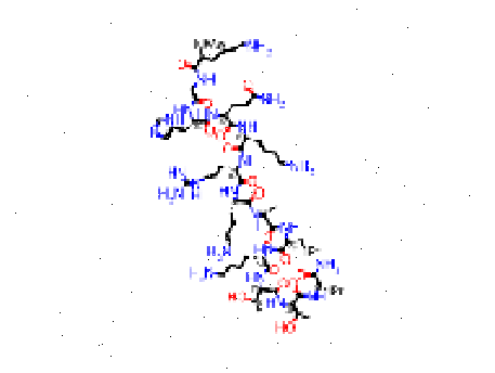 CN[C@@H](CCCCN)C(=O)NCC(=O)N[C@@H](Cc1cnc[nH]1)C(=O)N[C@@H](CCC(N)=O)C(=O)N[C@@H](CCCCN)C(=O)N[C@@H](CCCNC(=N)N)C(=O)N[C@@H](CCCCN)C(=O)N[C@@H](C)C(=O)N[C@@H](CC(C)C)C(=O)N[C@@H](CCCCN)C(=O)N[C@H](C(=O)N[C@H](C(=O)N[C@H](C(N)=O)C(C)C)[C@@H](C)O)[C@@H](C)O